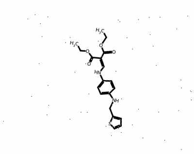 CCOC(=O)C(=CNc1ccc(NCc2cccs2)cc1)C(=O)OCC